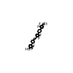 CCOc1ccc(C2CCC(c3ccc(COC4CCC(c5ccc(O)c(F)c5F)CC4)c(F)c3F)CC2)c(F)c1F